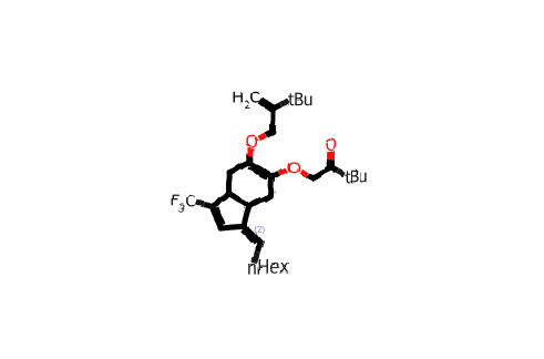 C=C(COC1=C(OCC(=O)C(C)(C)C)CC2/C(=C/CCCCCC)C=C(C(F)(F)F)C2C1)C(C)(C)C